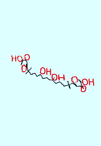 CC(C)(CCCC(O)CCCC(O)CCCC(C)(C)c1cc(=O)c(O)co1)c1cc(=O)c(O)co1